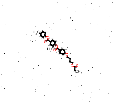 C=CC(=O)OCCCCOc1ccc(C(=O)Oc2ccc(C(=O)Oc3ccc(C)cc3)cc2C)cc1